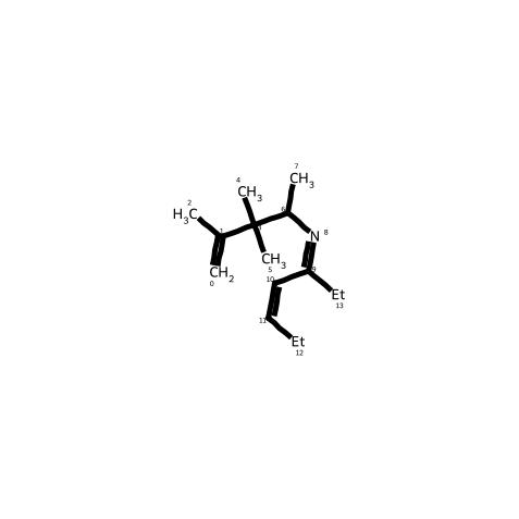 C=C(C)C(C)(C)C(C)/N=C(\C=C/CC)CC